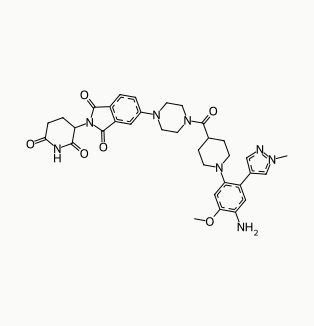 COc1cc(N2CCC(C(=O)N3CCN(c4ccc5c(c4)C(=O)N(C4CCC(=O)NC4=O)C5=O)CC3)CC2)c(-c2cnn(C)c2)cc1N